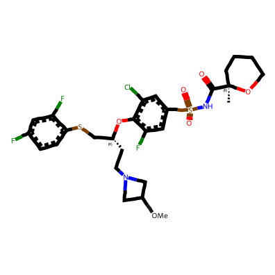 COC1CN(CC[C@H](CSc2ccc(F)cc2F)Oc2c(F)cc(S(=O)(=O)NC(=O)[C@@]3(C)CCCCO3)cc2Cl)C1